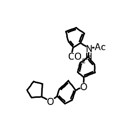 CC(=O)N(c1ccc(Oc2ccc(OC3CCCC3)cc2)cc1)c1ccccc1C(=O)O